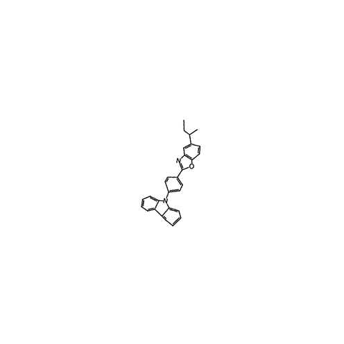 CCC(C)c1ccc2oc(-c3ccc(-n4c5ccccc5c5ccccc54)cc3)nc2c1